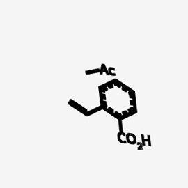 C=Cc1ccccc1C(=O)O.CC(C)=O